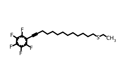 CCSCCCCCCCCCCCC#Cc1c(F)c(F)c(F)c(F)c1F